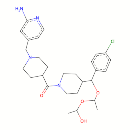 CC(O)OC(C)OC(c1ccc(Cl)cc1)C1CCN(C(=O)C2CCN(Cc3ccnc(N)c3)CC2)CC1